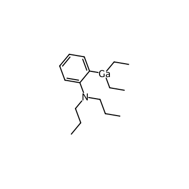 CCCN(CCC)c1cccc[c]1[Ga]([CH2]C)[CH2]C